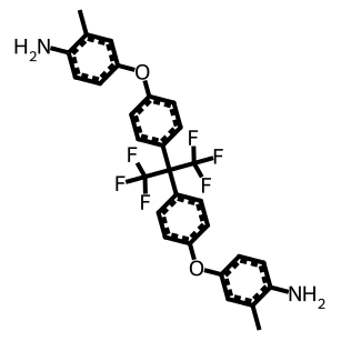 Cc1cc(Oc2ccc(C(c3ccc(Oc4ccc(N)c(C)c4)cc3)(C(F)(F)F)C(F)(F)F)cc2)ccc1N